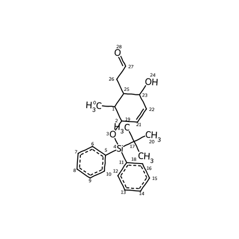 CC1C(O[Si](c2ccccc2)(c2ccccc2)C(C)(C)C)C=CC(O)C1CC=O